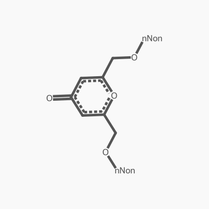 CCCCCCCCCOCc1cc(=O)cc(COCCCCCCCCC)o1